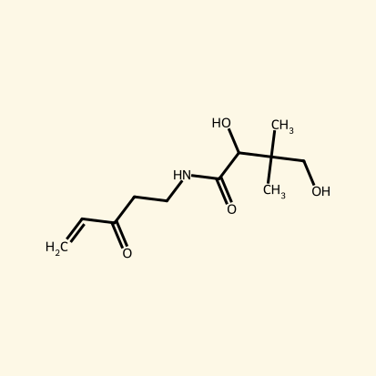 C=CC(=O)CCNC(=O)C(O)C(C)(C)CO